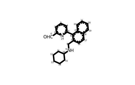 O=Cc1cccc(-c2c(CNC3CCCCC3)ccc3ccccc23)n1